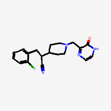 N#CC(Cc1ccccc1F)C1CCN(Cc2ncc[nH]c2=O)CC1